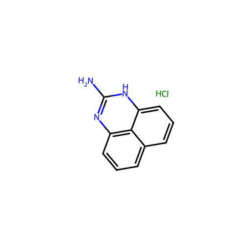 Cl.NC1=Nc2cccc3cccc(c23)N1